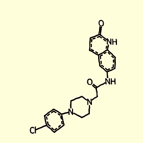 O=C(CN1CCN(c2ccc(Cl)cc2)CC1)Nc1ccc2[nH]c(=O)ccc2c1